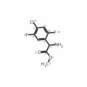 COC(=O)C(N)c1cc(F)c(Cl)cc1F